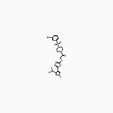 Cn1cc(-c2nnc(SCC(=O)N3CCN(S(=O)(=O)c4cccc(Br)c4)CC3)o2)c(C(F)F)n1